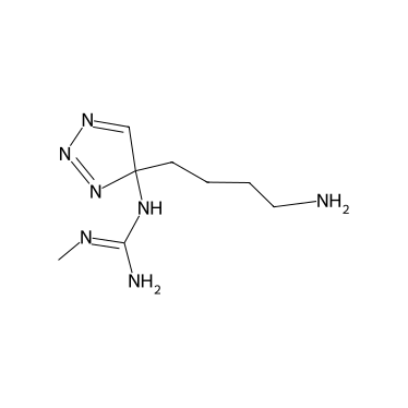 CN=C(N)NC1(CCCCN)C=NN=N1